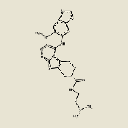 COc1cn2nccc2cc1Nc1ncnc2sc3c(c12)CC[C@H](C(=O)NCCN(C)C)C3